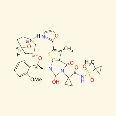 COc1ccccc1[C@H](CN1c2sc(-c3ncco3)c(C)c2C(=O)N(C2(C(=O)NS(=O)(=O)C3(C)CC3)CC2)C1O)O[C@@H]1C[C@H]2CC[C@@H](C1)O2